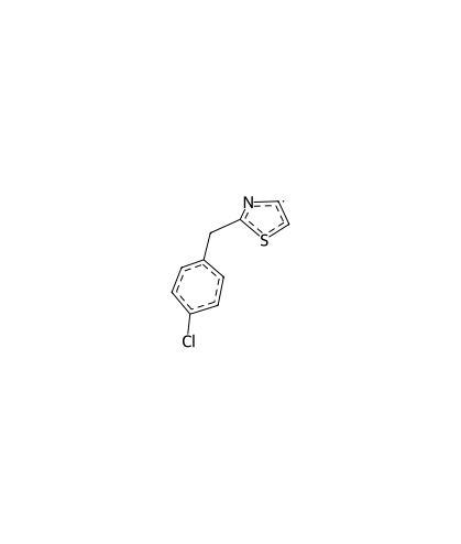 Clc1ccc(Cc2n[c]cs2)cc1